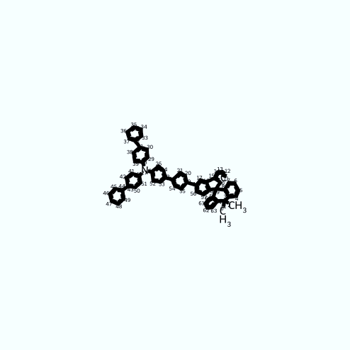 CC1(C)c2ccccc2C2(c3ccccc3-c3cc(-c4ccc(-c5ccc(N(c6ccc(-c7ccccc7)cc6)c6ccc(-c7ccccc7)cc6)cc5)cc4)ccc32)c2ccccc21